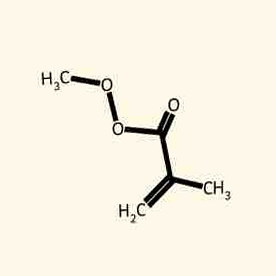 C=C(C)C(=O)OOC